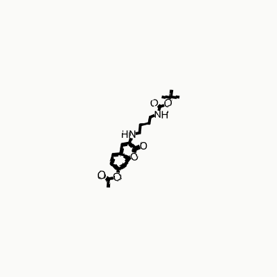 CC(=O)Oc1ccc2cc(NCCCCNC(=O)OC(C)(C)C)c(=O)oc2c1